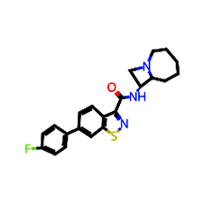 O=C(N[C@H]1CN2CCCCCC12)c1nsc2cc(-c3ccc(F)cc3)ccc12